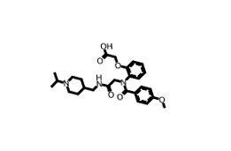 COc1ccc(C(=O)N(CC(=O)NCC2CCN(C(C)C)CC2)c2ccccc2OCC(=O)O)cc1